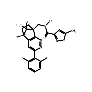 CCN(C[C@@]12CC[C@@H](c3cc(-c4c(F)cccc4F)nnc31)C2(C)C)C(=O)c1cc(C)on1